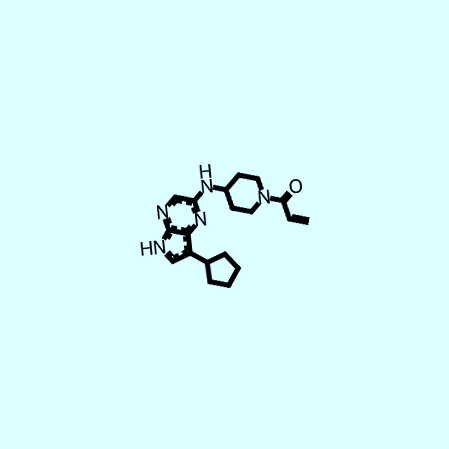 C=CC(=O)N1CCC(Nc2cnc3[nH]cc(C4CCCC4)c3n2)CC1